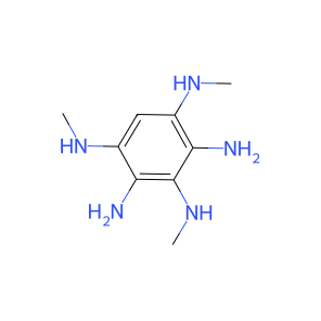 CNc1cc(NC)c(N)c(NC)c1N